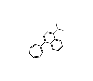 CN(C)c1ccc(C2=CC=CCC=C2)c2ccccc12